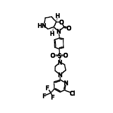 O=C1O[C@@H]2CCNC[C@@H]2N1c1ccc(S(=O)(=O)N2CCN(c3cc(C(F)(F)F)cc(Cl)n3)CC2)cc1